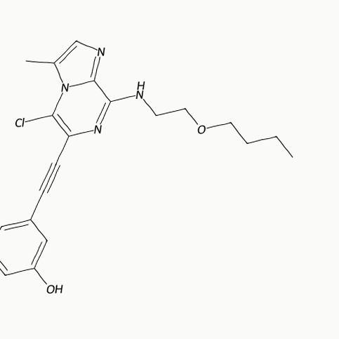 CCCCOCCNc1nc(C#Cc2cccc(O)c2)c(Cl)n2c(C)cnc12